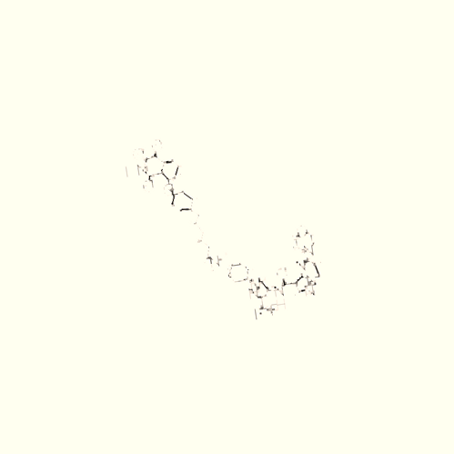 CN(CCCCCCc1ccc(Oc2cccc3c2C(=O)NC(=O)C3=O)cc1)C[C@H]1CC[C@H](n2cc(NC(=O)c3cnn4ccc(N5CCOCC5)nc34)c(C(F)F)n2)CC1